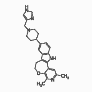 Cc1cc2c(c(C)n1)OCCc1c-2[nH]c2ccc(C3CCN(Cc4c[nH]cn4)CC3)cc12